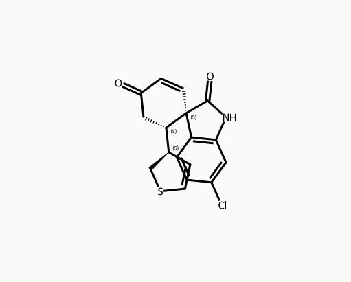 O=C1C=C[C@@]2(C(=O)Nc3cc(Cl)ccc32)[C@H]([C@H]2C=CSC2)C1